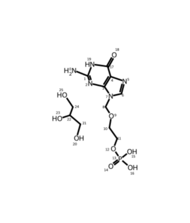 Nc1nc2c(ncn2COCCOP(=O)(O)O)c(=O)[nH]1.OCC(O)CO